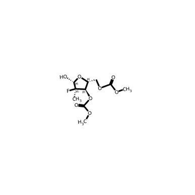 COC(=O)OC[C@H]1O[C@@H](O)[C@](C)(F)[C@@H]1OC(=O)OC